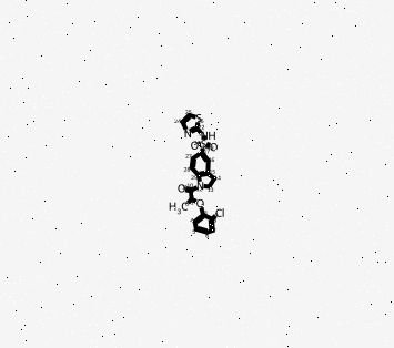 CC(Oc1ccccc1Cl)C(=O)N1CCc2cc(S(=O)(=O)Nc3nccs3)ccc21